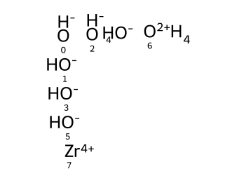 [OH-].[OH-].[OH-].[OH-].[OH-].[OH-].[OH4+2].[Zr+4]